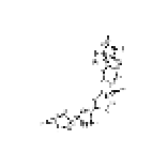 CC(C)C1(c2ccc(C(=O)N3CCC(c4nnc(-c5ccc(F)cc5)o4)CC3)cc2)NC(=O)NC1=O